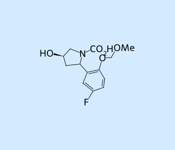 COCOc1ccc(F)cc1C1C[C@@H](O)CN1C(=O)O